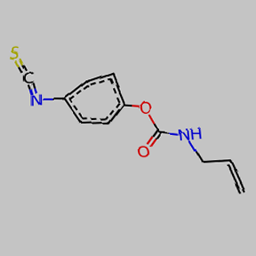 C=CCNC(=O)Oc1ccc(N=C=S)cc1